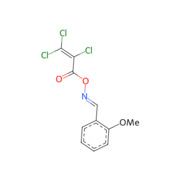 COc1ccccc1C=NOC(=O)C(Cl)=C(Cl)Cl